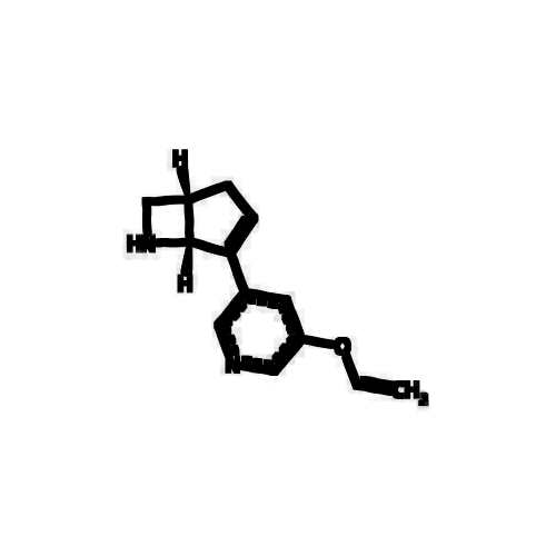 C=COc1cncc(C2=CC[C@H]3CN[C@@H]23)c1